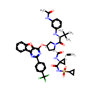 C=C[C@@H]1C[C@]1(NC(=O)[C@@H]1C[C@@H](Oc2nc(-c3ccc(C(F)(F)F)cc3)nc3c2oc2ccccc23)CN1C(=O)[C@@H](Nc1cccc(NC(C)=O)c1)C(C)(C)C)C(=O)NS(=O)(=O)C1CC1